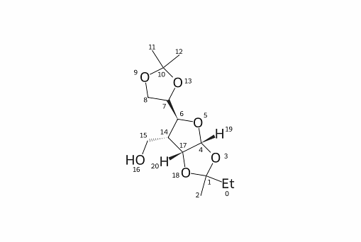 CCC1(C)O[C@H]2O[C@H](C3COC(C)(C)O3)[C@@H](CO)[C@H]2O1